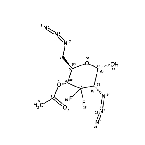 CC(=O)O[C@@H]1[C@@H](CN=[N+]=[N-])O[C@H](O)[C@H](N=[N+]=[N-])C1(F)F